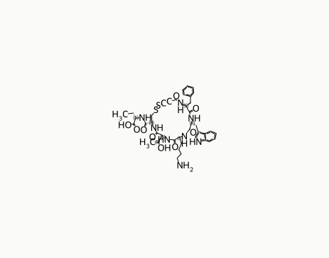 CC[C@H](NC(=O)[C@@H]1CSSCCC(=O)N[C@@H](Cc2ccccc2)C(=O)N[C@H](Cc2c[nH]c3ccccc23)C(=O)N[C@@H](CCCCN)C(=O)N[C@@H]([C@@H](C)O)C(=O)N1)C(=O)O